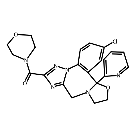 O=C(c1nc2n(n1)-c1ccc(Cl)cc1C1(c3ccccn3)OCCN1C2)N1CCOCC1